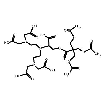 CC(=O)OCC(COC(C)=O)(COC(C)=O)C(=O)OCC(C(=O)O)N(CCN(CC(=O)O)CC(=O)O)CCN(CC(=O)O)CC(=O)O